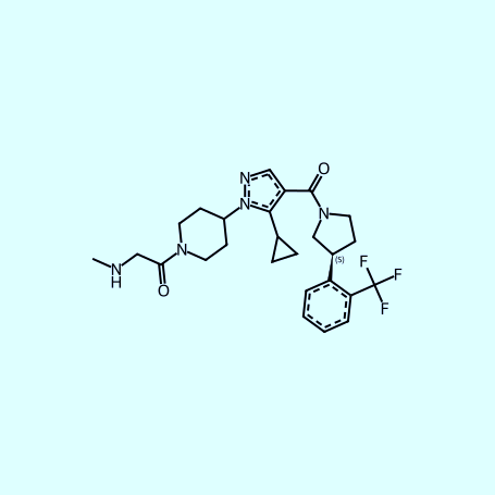 CNCC(=O)N1CCC(n2ncc(C(=O)N3CC[C@@H](c4ccccc4C(F)(F)F)C3)c2C2CC2)CC1